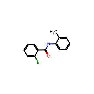 Cc1ccccc1NC(=O)c1ccccc1Br